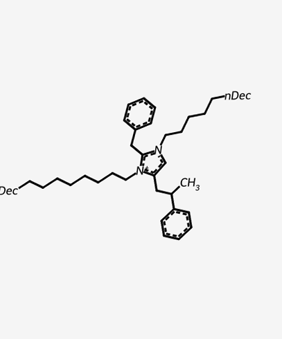 CCCCCCCCCCCCCCCCCC[n+]1c(CC(C)c2ccccc2)cn(CCCCCCCCCCCCCCC)c1Cc1ccccc1